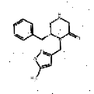 Cc1cc(CN2C(=O)CNC[C@@H]2Cc2ccccc2)no1